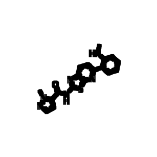 CNc1ccccc1-c1ccc2nc(NC(=O)c3ccnn3C)sc2n1